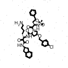 CS(=O)(=O)N[C@H](CCc1ccccc1)C(=O)N1C[C@H](OCc2ccc(Cl)cc2)C[C@H]1C(=O)N[C@@H](CCCCN)C(=O)C(=O)NC1Cc2ccccc2C1